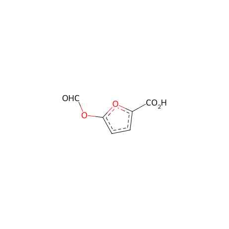 O=COc1ccc(C(=O)O)o1